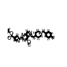 CCOC(=O)c1cnn(-c2nc(OC)c3c(cnn3CC3CCN(Cc4ccc(F)cc4)CC3)n2)c1